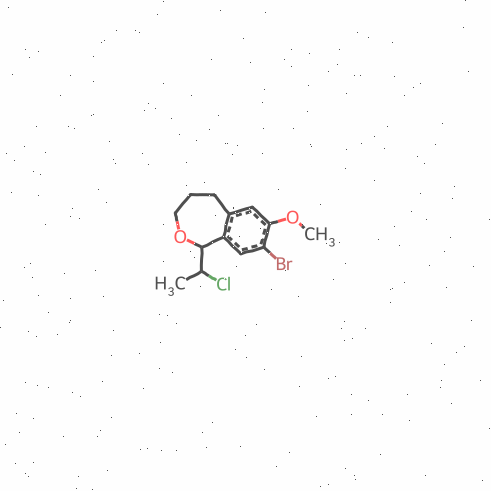 COc1cc2c(cc1Br)C(C(C)Cl)OCCC2